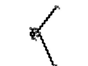 CCCCC=CC=CC=CCCCCCCCC(=O)OC(=O)CCCCCCCC=CC=CC=CCCCC.Nc1ccc(C(=O)O)cc1